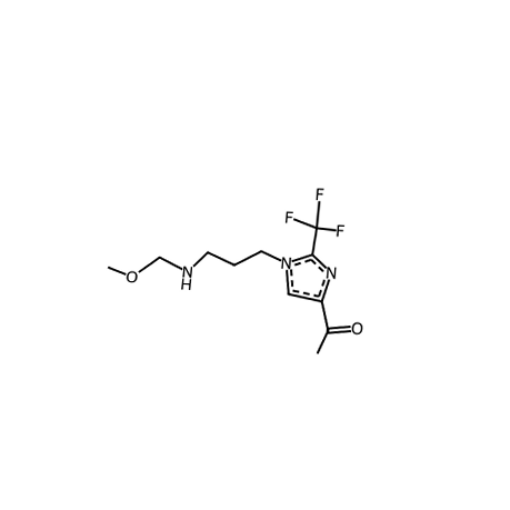 COCNCCCn1cc(C(C)=O)nc1C(F)(F)F